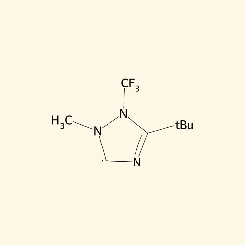 CN1[CH]N=C(C(C)(C)C)N1C(F)(F)F